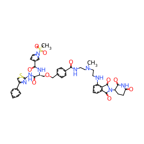 CN(CCNC(=O)c1ccc(COC[C@H](NC(=O)c2ccn(S(C)(=O)=O)c2)C(=O)Nc2nc(-c3ccccc3)cs2)cc1)CCNc1cccc2c1C(=O)N(C1CCC(=O)NC1=O)C2=O